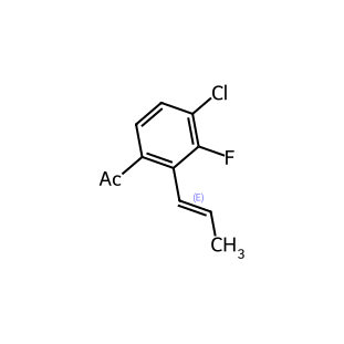 C/C=C/c1c(C(C)=O)ccc(Cl)c1F